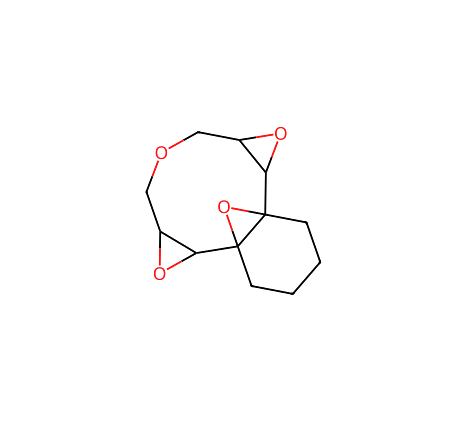 C1CCC23OC2(C1)C1OC1COCC1OC13